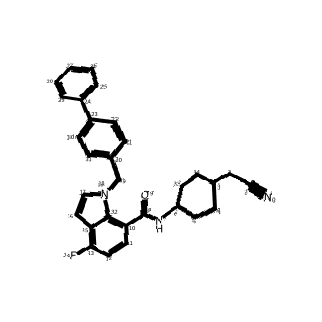 N#CCC1CCC(NC(=O)c2ccc(F)c3ccn(Cc4ccc(-c5ccccc5)cc4)c23)CC1